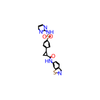 O=C(Nc1ccc2cnsc2c1)C1CC1c1ccc(S(=O)(=O)Nc2ncccn2)cc1